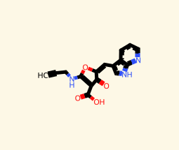 C#CCNC1=C(C(=O)O)C(=O)C(=Cc2c[nH]c3ncccc23)O1